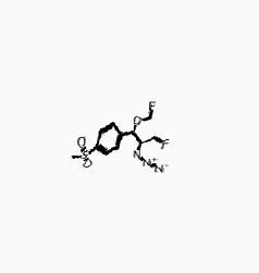 CS(=O)(=O)c1ccc([C@@H](OCF)[C@@H](CF)N=[N+]=[N-])cc1